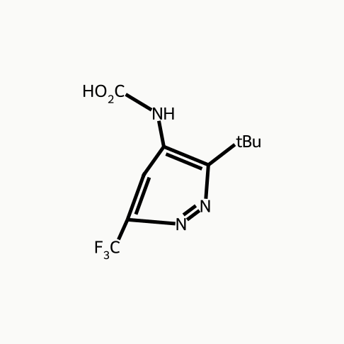 CC(C)(C)c1nnc(C(F)(F)F)cc1NC(=O)O